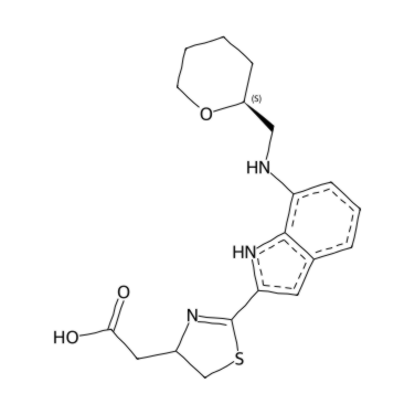 O=C(O)CC1CSC(c2cc3cccc(NC[C@@H]4CCCCO4)c3[nH]2)=N1